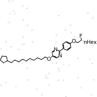 CCCCCC[C@@H](F)COc1ccc(-c2ncc(OCCCCCCCCCCC3CCCC3)cn2)cc1